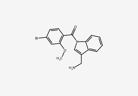 COc1cc(Br)ccc1C(=O)n1cc(CN)c2ccccc21